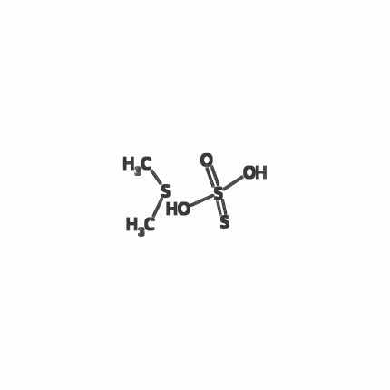 CSC.O=S(O)(O)=S